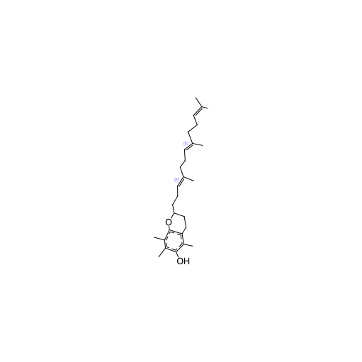 CC(C)=CCC/C(C)=C/CC/C(C)=C/CCC1CCc2c(C)c(O)c(C)c(C)c2O1